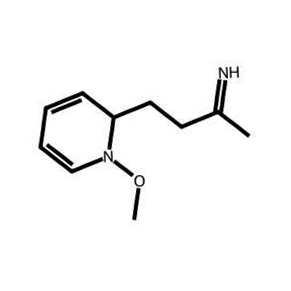 CON1C=CC=CC1CCC(C)=N